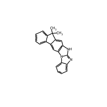 CC1(C)c2ccccc2-c2cc3c(cc21)[nH]c1nc2ccccc2n13